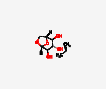 C=CC.O[C@@H]1[C@@H](O)[C@@H]2OC[C@@H](O2)[C@H]1O